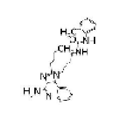 CCCCc1nc2c(N)nc3ccccc3c2n1CCCCNC(=O)Nc1ccccc1C